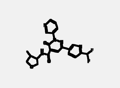 CC1COCC1NC(=O)c1cc(-c2ccc(C(F)F)nc2)nn(-c2cccnc2)c1=O